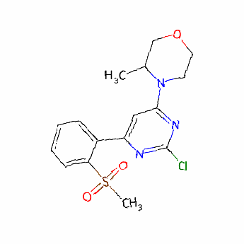 CC1COCCN1c1cc(-c2ccccc2S(C)(=O)=O)nc(Cl)n1